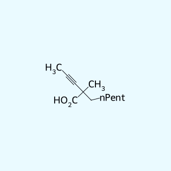 CC#CC(C)(CCCCCC)C(=O)O